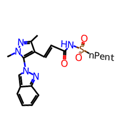 CCCCCS(=O)(=O)NC(=O)/C=C/c1c(C)nn(C)c1-n1cc2ccccc2n1